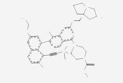 COCOc1cc(-c2ncc3c(N4CCN(C(=O)OC(C)(C)C)CC4)nc(OC[C@@]45CCCN4C[C@H](F)C5)nc3c2F)c2c(C#C[Si](C(C)C)(C(C)C)C(C)C)c(F)ccc2c1